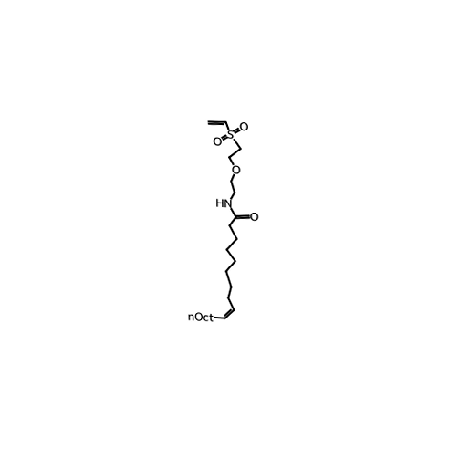 C=CS(=O)(=O)CCOCCNC(=O)CCCCCCC/C=C\CCCCCCCC